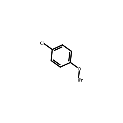 CC(C)Oc1[c]cc(Cl)cc1